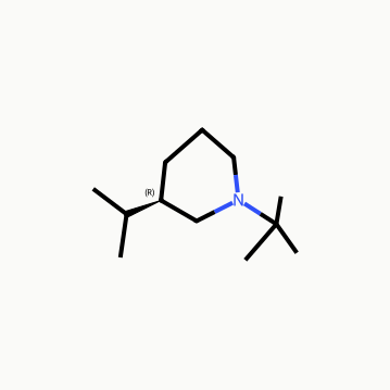 CC(C)[C@H]1CCCN(C(C)(C)C)C1